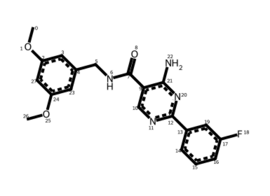 COc1cc(CNC(=O)c2cnc(-c3cccc(F)c3)nc2N)cc(OC)c1